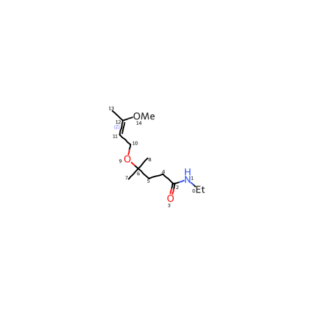 CCNC(=O)CCC(C)(C)OC/C=C(/C)OC